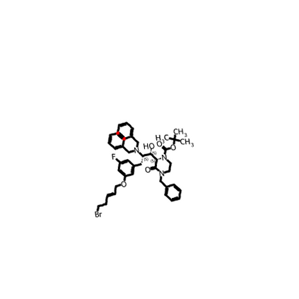 CC(C)(C)OC(=O)N1CCN(Cc2ccccc2)C(=O)[C@@H]1[C@@H](O)[C@H](Cc1cc(F)cc(OCC=CCCBr)c1)N(Cc1ccccc1)Cc1ccccc1